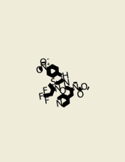 COC(=O)N(C)C(Cc1ccncc1)C(=O)N[C@@H](Cc1ccc([N+](=O)[O-])cc1)c1nc(CC(F)(F)F)cs1